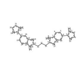 c1c[nH]c(-c2ccc3[nH]c(CCCc4nc5cc(-c6ncc[nH]6)ccc5[nH]4)nc3c2)n1